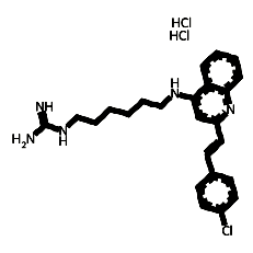 Cl.Cl.N=C(N)NCCCCCCNc1cc(C=Cc2ccc(Cl)cc2)nc2ccccc12